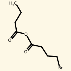 CCCC(=O)OC(=O)CCCBr